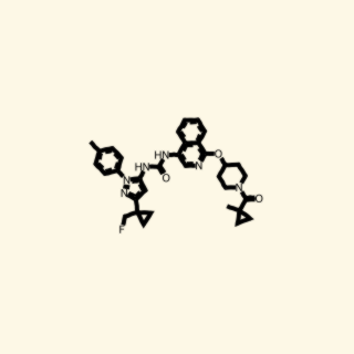 Cc1ccc(-n2nc(C3(CF)CC3)cc2NC(=O)Nc2cnc(OC3CCN(C(=O)C4(C)CC4)CC3)c3ccccc23)cc1